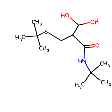 CC(C)(C)NC(=O)C(CSC(C)(C)C)C(O)O